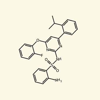 CC(C)c1ccccc1-c1cc(Oc2ccccc2F)nc(NS(=O)(=O)c2ccccc2N)n1